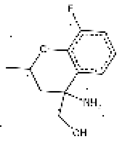 CC1CC(N)(CO)c2cccc(F)c2O1